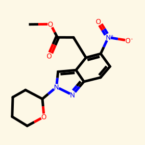 COC(=O)Cc1c([N+](=O)[O-])ccc2nn(C3CCCCO3)cc12